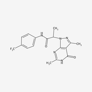 Cc1nc2c(c(C)nn2C(C)C(=O)Nc2ccc(C(F)(F)F)cc2)c(=O)[nH]1